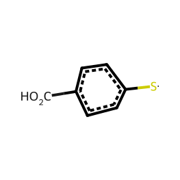 O=C(O)c1ccc([S])cc1